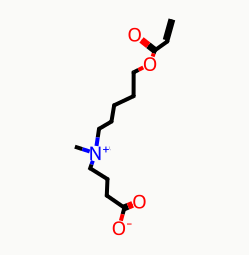 C=CC(=O)OCCCCC[N+](C)(C)CCCC(=O)[O-]